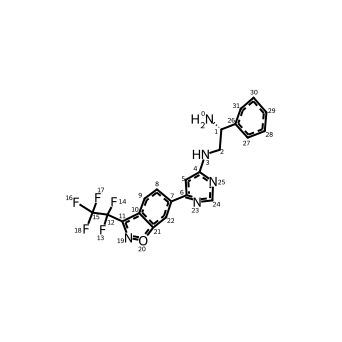 N[C@@H](CNc1cc(-c2ccc3c(C(F)(F)C(F)(F)F)noc3c2)ncn1)c1ccccc1